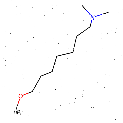 CCCOCCCCCCCN(C)C